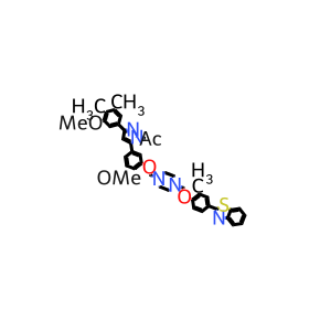 COc1ccc(-c2cc(-c3cc(C)c(C)c(OC)c3)nn2C(C)=O)cc1OCN1CCN(COc2ccc(-c3nc4ccccc4s3)cc2C)CC1